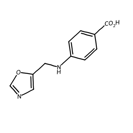 O=C(O)c1ccc(NCc2cnco2)cc1